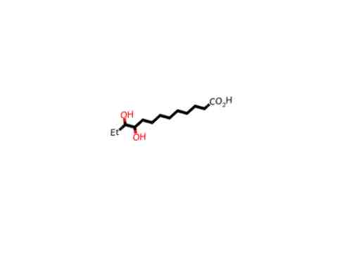 CCC(O)C(O)CCCCCCCCC(=O)O